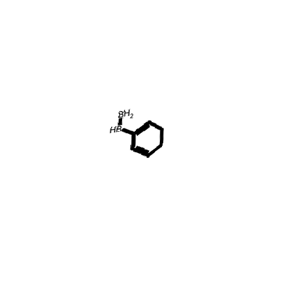 BBC1=CCCC=C1